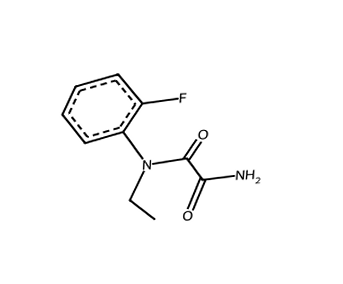 CCN(C(=O)C(N)=O)c1ccccc1F